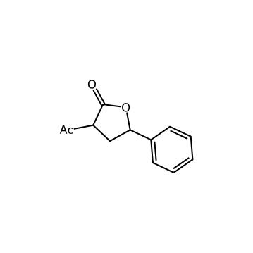 CC(=O)C1CC(c2ccccc2)OC1=O